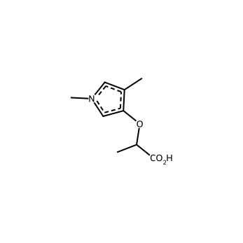 Cc1cn(C)cc1OC(C)C(=O)O